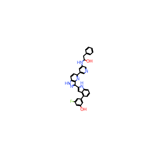 Oc1cc(F)cc(-c2cccc3[nH]c(-c4n[nH]c5ccc(-c6cncc(NC(O)Cc7ccccc7)c6)nc45)cc23)c1